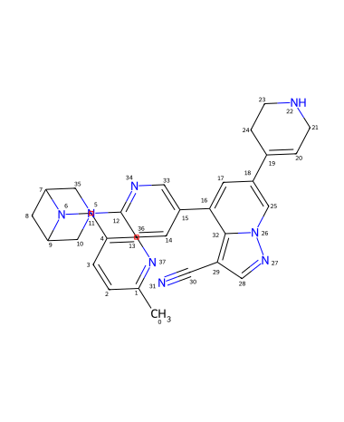 Cc1ccc(CN2C3CC2CN(c2ccc(-c4cc(C5=CCNCC5)cn5ncc(C#N)c45)cn2)C3)cn1